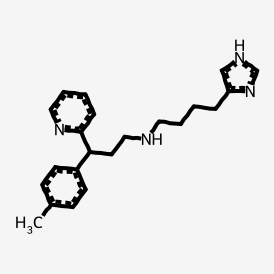 Cc1ccc(C(CCNCCCCc2c[nH]cn2)c2ccccn2)cc1